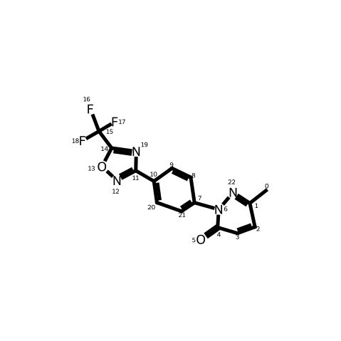 Cc1ccc(=O)n(-c2ccc(-c3noc(C(F)(F)F)n3)cc2)n1